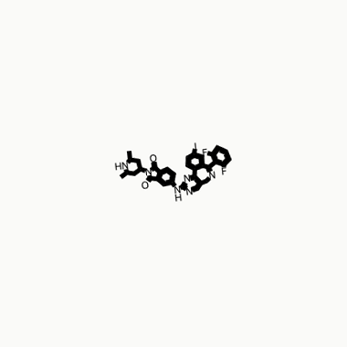 CC1CC(N2C(=O)c3ccc(Nc4ncc5c(n4)-c4ccc(I)cc4C(c4c(F)cccc4F)=NC5)cc3C2=O)CC(C)N1